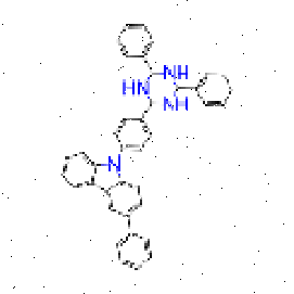 C1=CC(C2NC(c3ccccc3)NC(c3ccc(-n4c5ccccc5c5cc(-c6ccccc6)ccc54)cc3)N2)=CCC1